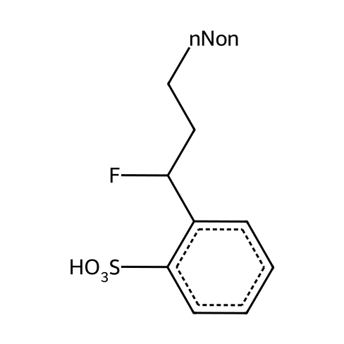 CCCCCCCCCCCC(F)c1ccccc1S(=O)(=O)O